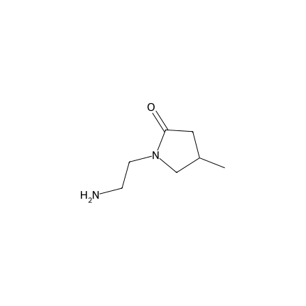 CC1CC(=O)N(CCN)C1